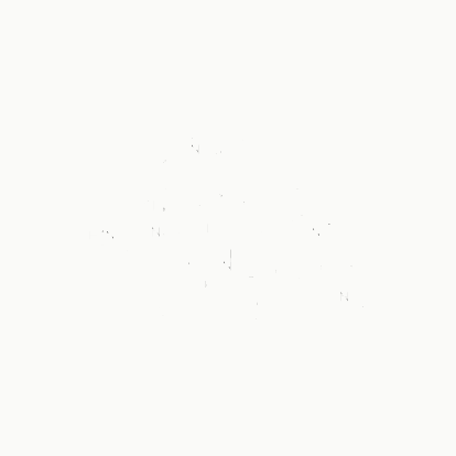 Cc1cc(N)nc(C)c1CNC(=O)c1cc(CN)nc(Cc2ccc3ncc(Cl)cc3c2)c1